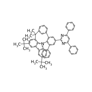 CC(C)(C)c1ccc2c(c1)c1cc(C(C)(C)C)cc3c1n2-c1c(-c2ccccc2)cc(-c2nc(-c4ccccc4)cc(-c4ccccc4)n2)cc1-c1cccc(c1)C3(C)C